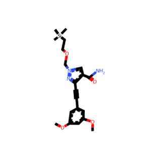 COc1cc(C#Cc2nn(COCC[Si](C)(C)C)cc2C(N)=O)cc(OC)c1